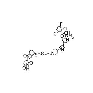 CC(Oc1cc(-c2cnn(C3CCN(CCCOCCSc4cccc5c4CN(C4CCC(=O)NC4=O)C5=O)CC3)c2)cnc1N)c1c(Cl)ccc(F)c1Cl